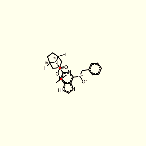 CC(C)(C)OC(=O)N1[C@@H]2CC[C@H]1CN(c1nc([S+]([O-])Cc3ccccc3)c3nc[nH]c3n1)C2